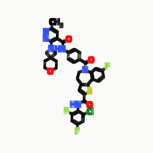 Cc1cc(C(=O)Nc2ccc(C(=O)N3CCc4cc(C(=O)Nc5c(F)cc(F)cc5Cl)sc4-c4ccc(F)cc43)cc2)c(N2CC3(CCOCC3)C2)nn1